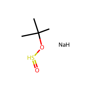 CC(C)(C)O[SH]=O.[NaH]